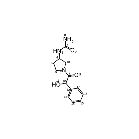 NC(=O)N[C@@H]1CCN(C(=O)C(O)c2ccccc2)C1